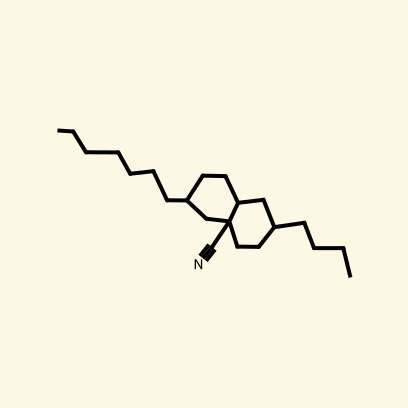 CCCCCCCC1CCC2CC(CCCC)CCC2(C#N)C1